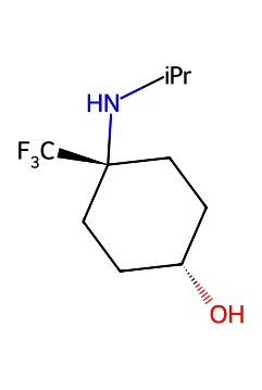 CC(C)N[C@]1(C(F)(F)F)CC[C@H](O)CC1